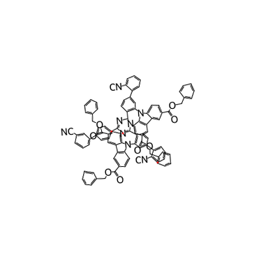 [C-]#[N+]c1ccccc1-c1ccc(-c2nc(-c3ccc(-c4cccc(C#N)c4)cc3)nc(-c3ccc(-c4ccccc4[N+]#[C-])cc3-n3c4ccc(C(=O)OCc5ccccc5)cc4c4cc(C(=O)OCc5ccccc5)ccc43)n2)c(-n2c3ccc(C(=O)OCc4ccccc4)cc3c3cc(C(=O)OCc4ccccc4)ccc32)c1